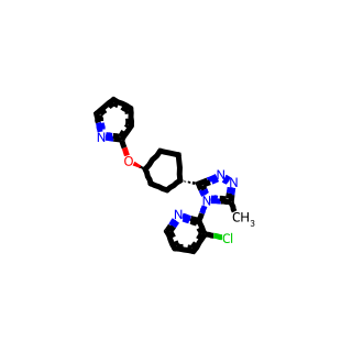 Cc1nnc([C@H]2CC[C@H](Oc3ccccn3)CC2)n1-c1ncccc1Cl